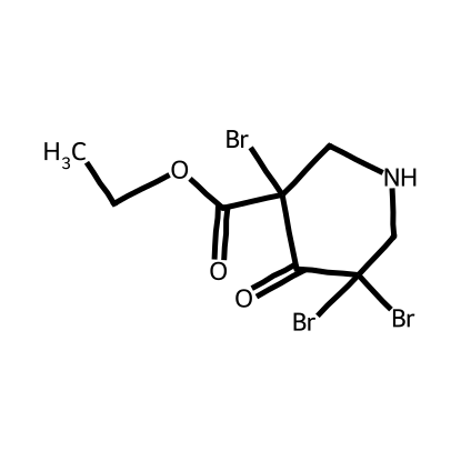 CCOC(=O)C1(Br)CNCC(Br)(Br)C1=O